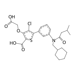 CC(C)CC(=O)N(CC1CCCCC1)c1cccc(-c2sc(C(=O)O)c(OCC(=O)O)c2Cl)c1